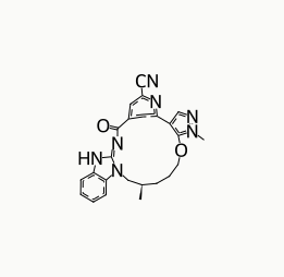 C[C@@H]1CCCOc2c(cnn2C)-c2cc(cc(C#N)n2)C(=O)/N=C2\Nc3ccccc3N2C1